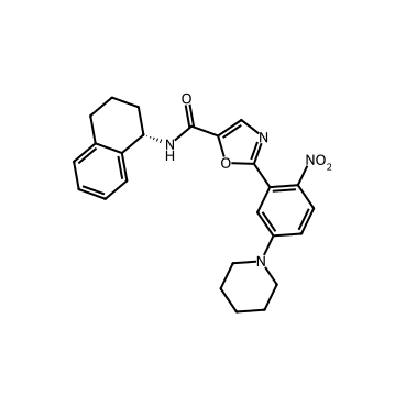 O=C(N[C@H]1CCCc2ccccc21)c1cnc(-c2cc(N3CCCCC3)ccc2[N+](=O)[O-])o1